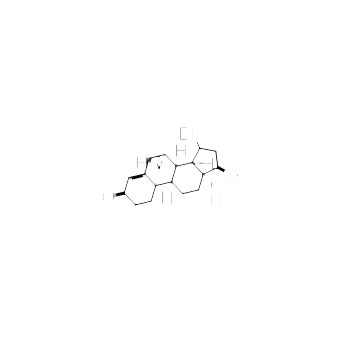 CCC1CC(=O)[C@@]2(C)CC[C@@H]3[C@@H](CCC4=CC(=O)CC[C@@]43CO)[C@H]12